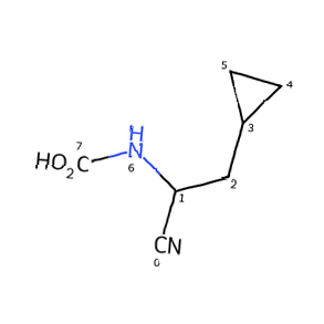 N#CC(CC1CC1)NC(=O)O